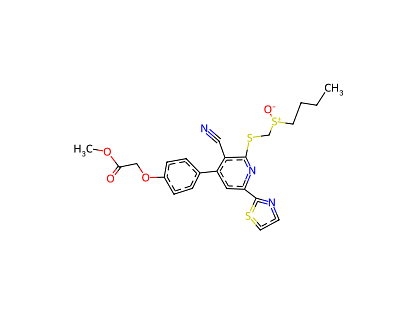 CCCC[S+]([O-])CSc1nc(-c2nccs2)cc(-c2ccc(OCC(=O)OC)cc2)c1C#N